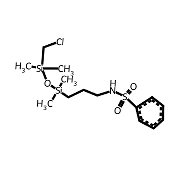 C[Si](C)(CCl)O[Si](C)(C)CCCNS(=O)(=O)c1ccccc1